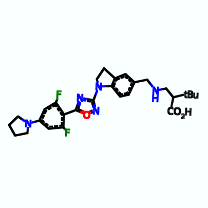 CC(C)(C)C(CNCc1ccc2c(c1)CCN2c1noc(-c2c(F)cc(N3CCCC3)cc2F)n1)C(=O)O